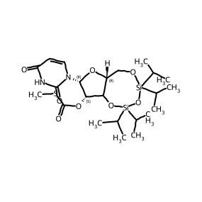 CSC(=O)O[C@H]1C2O[Si](C(C)C)(C(C)C)O[Si](C(C)C)(C(C)C)OC[C@H]2O[C@H]1n1ccc(=O)[nH]c1=O